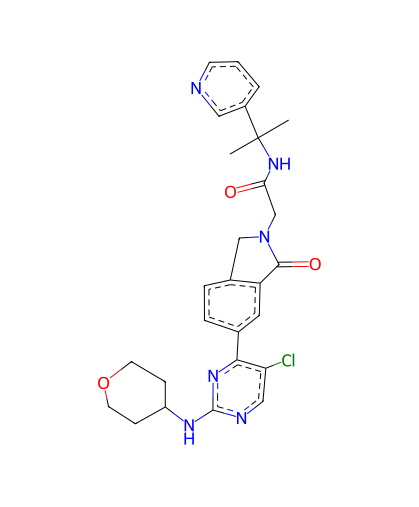 CC(C)(NC(=O)CN1Cc2ccc(-c3nc(NC4CCOCC4)ncc3Cl)cc2C1=O)c1cccnc1